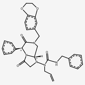 C=CCN(C(=O)NCc1ccccc1)N1CC(=O)N2[C@@H](c3ccccc3)C(=O)N(Cc3ccc4c(c3)OCCO4)C[C@@H]21